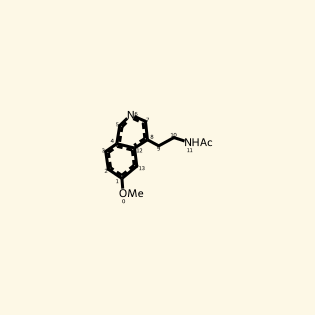 COc1ccc2cncc(CCNC(C)=O)c2c1